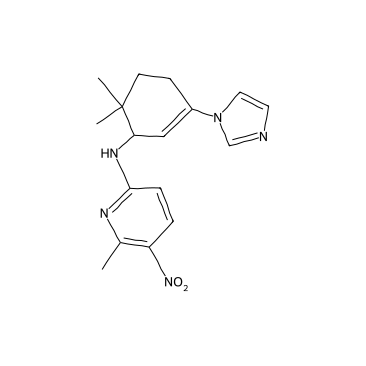 Cc1nc(NC2C=C(n3ccnc3)CCC2(C)C)ccc1[N+](=O)[O-]